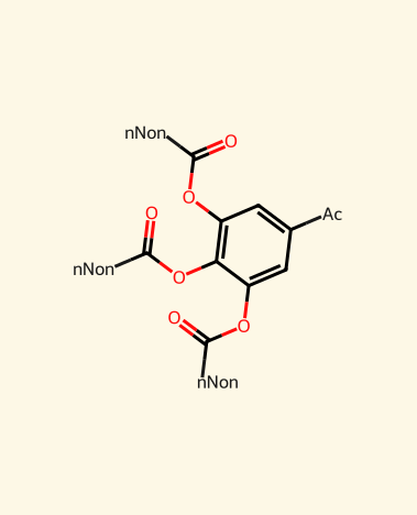 CCCCCCCCCC(=O)Oc1cc(C(C)=O)cc(OC(=O)CCCCCCCCC)c1OC(=O)CCCCCCCCC